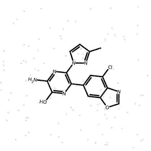 Cc1ccn(-c2nc(N)c(O)nc2-c2cc(Cl)c3ncoc3c2)n1